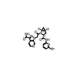 CC(C)c1cccc(NC(=O)[C@@H]2C[C@H]3C[C@H]3N2C(=O)Cn2nc(C(N)=O)c3ccncc32)n1